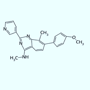 CNc1nc(-c2cccnc2)nc2c(C)c(-c3ccc(OC)cc3)ccc12